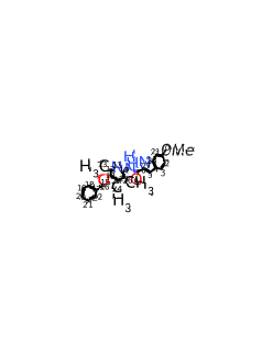 COc1ccc2cc(C(=O)Nc3nc(C)c(OCc4ccccc4)c(C)c3C)[nH]c2c1